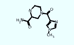 Cn1cnc(C(=O)N2CC[N]C(C(N)=O)C2)c1